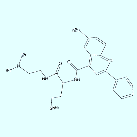 CCCCc1ccc2nc(-c3ccccc3)cc(C(=O)NC(CCSC)C(=O)NCCN(C(C)C)C(C)C)c2c1